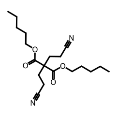 CCCCCOC(=O)C(CCC#N)(CCC#N)C(=O)OCCCCC